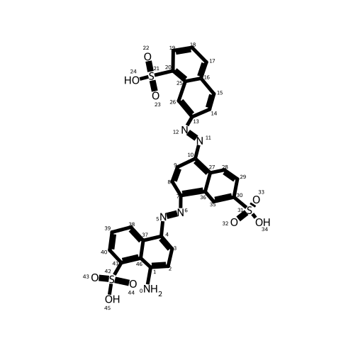 Nc1ccc(N=Nc2ccc(N=Nc3ccc4cccc(S(=O)(=O)O)c4c3)c3ccc(S(=O)(=O)O)cc23)c2cccc(S(=O)(=O)O)c12